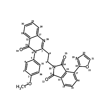 COc1ccc(-n2c(CCN3C(=O)c4cccc(-c5ncco5)c4C3=O)nc3ccccc3c2=O)cc1